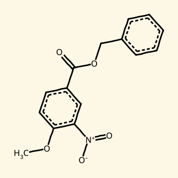 COc1ccc(C(=O)OCc2ccccc2)cc1[N+](=O)[O-]